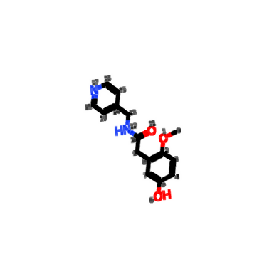 COc1ccc(O)cc1CC(=O)NCc1ccncc1